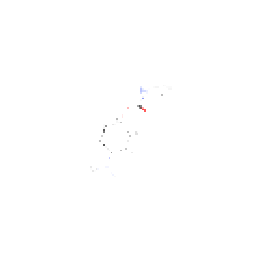 CN(C)C1CCC(OC(=O)NC(C)(C)C)CC1